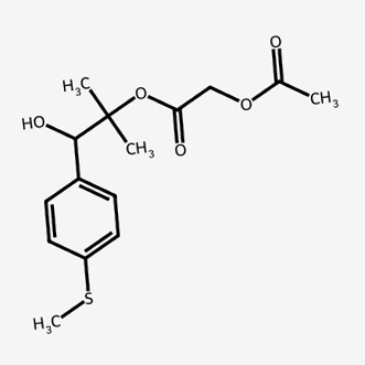 CSc1ccc(C(O)C(C)(C)OC(=O)COC(C)=O)cc1